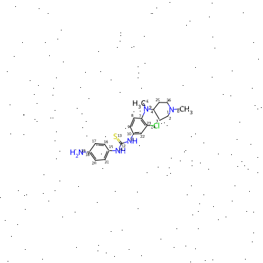 CN1CCC(N(C)c2ccc(NC(=S)Nc3ccc(N)cc3)cc2Cl)CC1